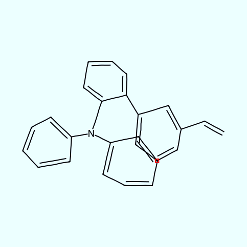 C=Cc1cccc(-c2ccccc2N(c2ccccc2)c2ccccc2)c1